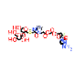 CC(C)N[C@H](CSCC1OCC(O)C[C@@H]1O[C@@H]1OC(CO)C(O)CC1O)C(=O)NCCC(=O)OCC(=O)OC[C@@H]1C[C@H](F)[C@H](n2ccc(N)nc2=O)O1